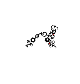 CCc1nccn1CC(c1cccc(F)c1)(C1CCN(CC2CN(c3ccc(S(=O)(=O)C4CC4)cc3)C2)CC1)[C@H]1CCC[C@@H]1NC(=O)OC